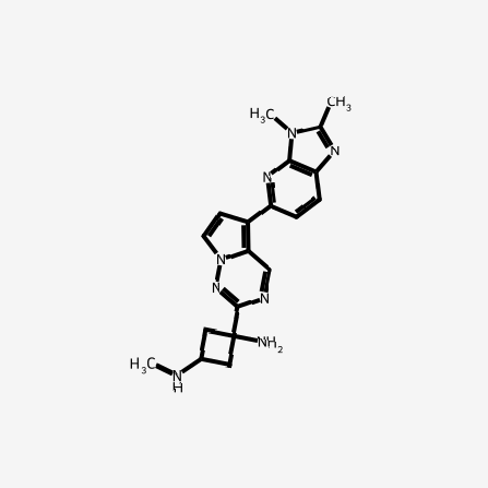 CNC1CC(N)(c2ncc3c(-c4ccc5nc(C)n(C)c5n4)ccn3n2)C1